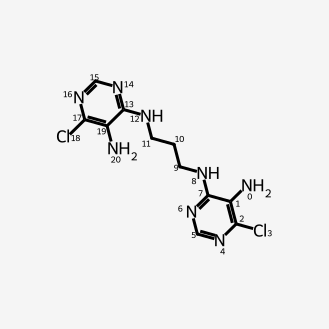 Nc1c(Cl)ncnc1NCCCNc1ncnc(Cl)c1N